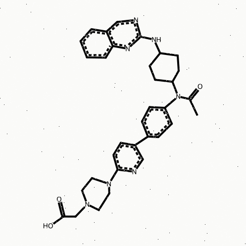 CC(=O)N(c1ccc(-c2ccc(N3CCN(CC(=O)O)CC3)nc2)cc1)C1CCC(Nc2ncc3ccccc3n2)CC1